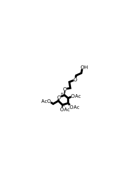 CC(=O)OCC1O[C@@H](OCCOCCO)C(OC(C)=O)C(OC(C)=O)[C@H]1OC(C)=O